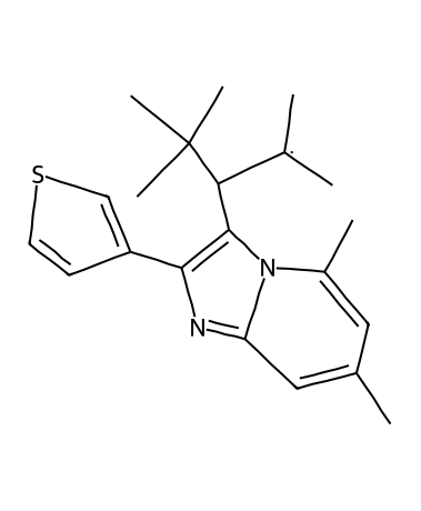 C[C](C)C(c1c(-c2ccsc2)nc2cc(C)cc(C)n12)C(C)(C)C